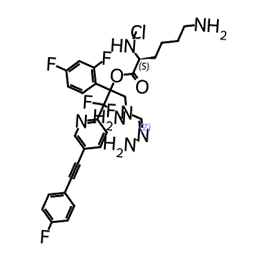 NCCCC[C@H](NCl)C(=O)OC(CN(N)/C=N\N)(c1ccc(F)cc1F)C(F)(F)c1ccc(C#Cc2ccc(F)cc2)cn1